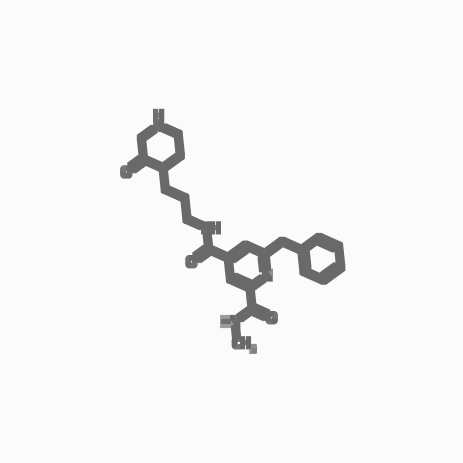 CNC(=O)c1cc(C(=O)NCCCC2CCNCC2=O)cc(Cc2ccccc2)n1